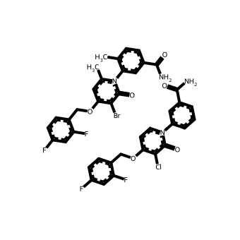 Cc1ccc(C(N)=O)cc1-n1c(C)cc(OCc2ccc(F)cc2F)c(Br)c1=O.NC(=O)c1cccc(-n2[c]cc(OCc3ccc(F)cc3F)c(Cl)c2=O)c1